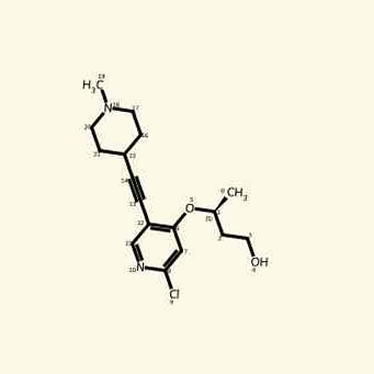 C[C@@H](CCO)Oc1cc(Cl)ncc1C#CC1CCN(C)CC1